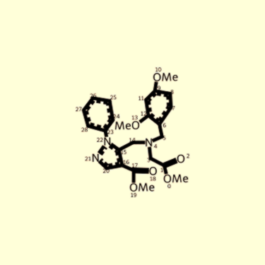 COC(=O)CN(Cc1ccc(OC)cc1OC)Cc1c(C(=O)OC)cnn1-c1ccccc1